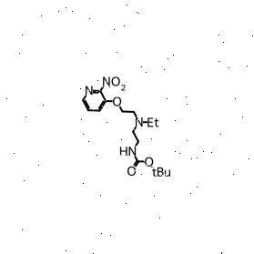 CCN(CCNC(=O)OC(C)(C)C)CCOc1cccnc1[N+](=O)[O-]